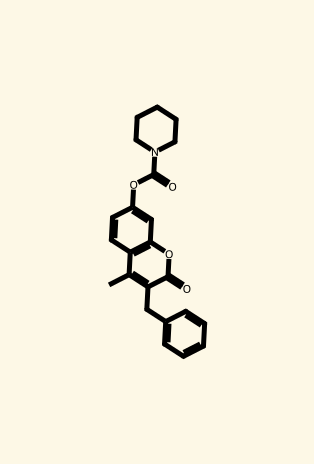 Cc1c(Cc2ccccc2)c(=O)oc2cc(OC(=O)N3CCCCC3)ccc12